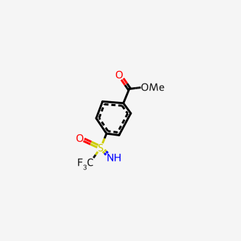 COC(=O)c1ccc(S(=N)(=O)C(F)(F)F)cc1